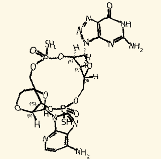 Nc1nc2c(nnn2[C@@H]2O[C@@H]3COP(=O)(S)O[C@H]4[C@H]5OCC4(COP(=O)(S)O[C@@H]2[C@H]3F)O[C@H]5n2cnc3c(N)ccnc32)c(=O)[nH]1